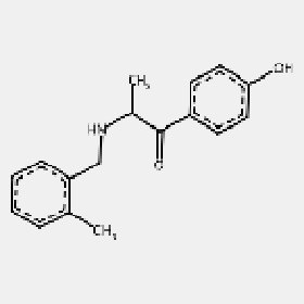 Cc1ccccc1CNC(C)C(=O)c1ccc(O)cc1